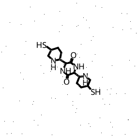 O=C1NC(C2CCC(S)CN2)C(=O)NC1C1CCC(S)CN1